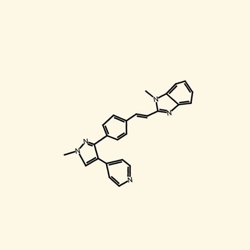 Cn1cc(-c2ccncc2)c(-c2ccc(/C=C/c3nc4ccccc4n3C)cc2)n1